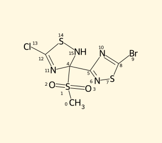 CS(=O)(=O)C1(c2nsc(Br)n2)N=C(Cl)SN1